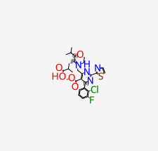 COC(=O)C1=C(CN2CCO[C@H](C(C)C)[C@H]2CC(C)C(=O)O)NC(c2nccs2)=N[C@H]1c1cccc(F)c1Cl